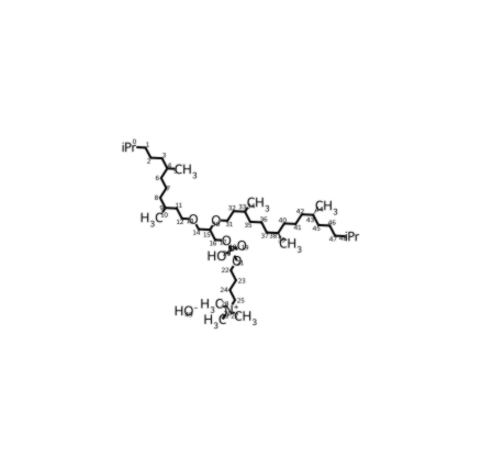 CC(C)CCCC(C)CCCC(C)CCOCC(COP(=O)(O)OCCCC[N+](C)(C)C)OCCC(C)CCC[C@H](C)CCC[C@H](C)CCCC(C)C.[OH-]